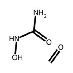 C=O.NC(=O)NO